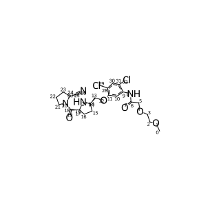 COCCOCC(=O)Nc1cc(OC[C@H]2CC[C@@H](C(=O)N3CCC[C@H]3C#N)N2)c(Cl)cc1Cl